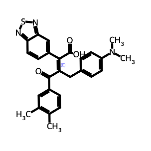 Cc1ccc(C(=O)/C(Cc2ccc(N(C)C)cc2)=C(/C(=O)O)c2ccc3nsnc3c2)cc1C